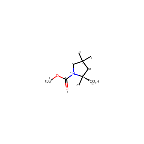 CC1(C)CN(C(=O)OC(C)(C)C)[C@](C)(C(=O)O)C1